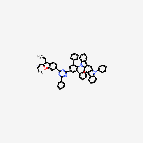 C=Cc1c(/C=C\C)oc2cc(-c3nc(-c4ccccc4)nc(-c4cc(-c5ccccc5)c(-n5c6ccccc6c6cc7c(cc65)c5ccccc5n7-c5ccccc5)c(-c5ccccc5)c4)n3)ccc12